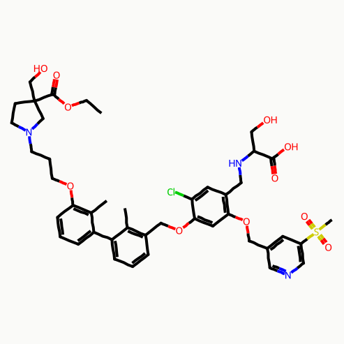 CCOC(=O)C1(CO)CCN(CCCOc2cccc(-c3cccc(COc4cc(OCc5cncc(S(C)(=O)=O)c5)c(CNC(CO)C(=O)O)cc4Cl)c3C)c2C)C1